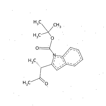 CC(=O)[C@H](C)c1cc2ccccc2n1C(=O)OC(C)(C)C